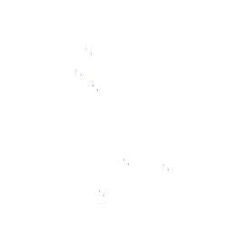 Cc1c(C2CC2)nnn1-c1ccc(C(C)Nc2ncnc3sccc23)cc1